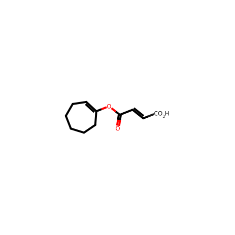 O=C(O)/C=C/C(=O)OC1=CCCCCC1